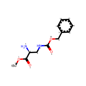 CC(C)(C)OC(=O)[C@@H](N)CNC(=O)OCc1ccccc1